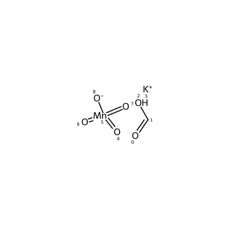 O=CO.[K+].[O]=[Mn](=[O])(=[O])[O-]